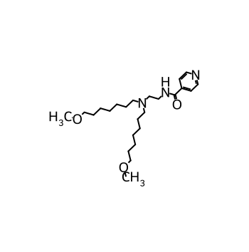 COCCCCCCCN(CCCCCCCOC)CCNC(=O)c1ccncc1